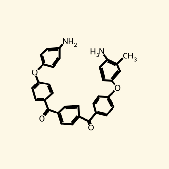 Cc1cc(Oc2ccc(C(=O)c3ccc(C(=O)c4ccc(Oc5ccc(N)cc5)cc4)cc3)cc2)ccc1N